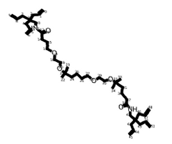 C=CCC(CC=C)(CC=C)CNC(=O)CCCOCCOC(C)(C)CCCCOCCOC(C)(C)CCCC(=O)NCC(CC=C)(CC=C)CC=C